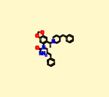 CC(c1cc2c(cc1N(CCCc1ccccc1)C(N)=O)OCO2)N1CCC(Cc2ccccc2)CC1